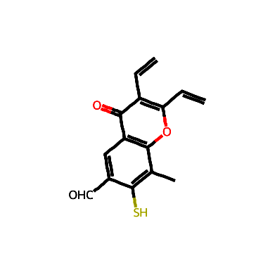 C=Cc1oc2c(C)c(S)c(C=O)cc2c(=O)c1C=C